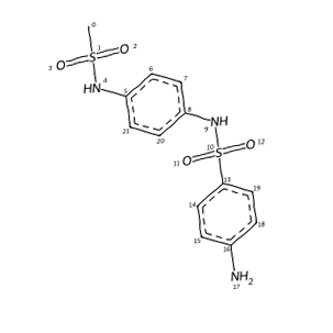 CS(=O)(=O)Nc1ccc(NS(=O)(=O)c2ccc(N)cc2)cc1